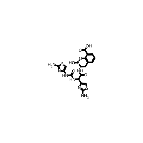 Nc1nc(NC(=O)NC(C(=O)N[C@H]2Cc3cccc(C(=O)O)c3OB2O)c2csc(N)n2)cs1